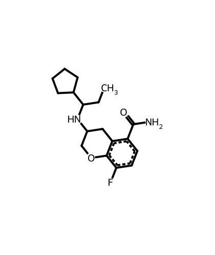 CCC(NC1COc2c(F)ccc(C(N)=O)c2C1)C1CCCC1